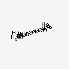 COC(=O)[C@H](COCCOCCOCCOCCOCCOCCNC(=O)OCC1c2ccccc2-c2ccccc21)NC(C)=O